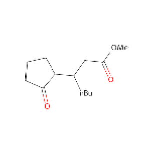 CCCCC(CC(=O)OC)C1CCCC1=O